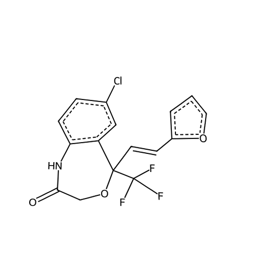 O=C1COC(C=Cc2ccco2)(C(F)(F)F)c2cc(Cl)ccc2N1